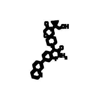 NC(=O)C(c1ccc(-c2ccc3cccnc3c2)cc1F)N1CCC2(CC1)CN(C1(CO)CC1)C(=O)CO2